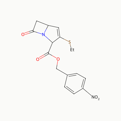 CCSC1=CC2CC(=O)N2C1C(=O)OCc1ccc([N+](=O)[O-])cc1